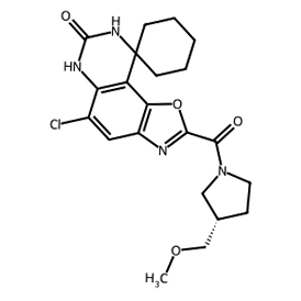 COC[C@H]1CCN(C(=O)c2nc3cc(Cl)c4c(c3o2)C2(CCCCC2)NC(=O)N4)C1